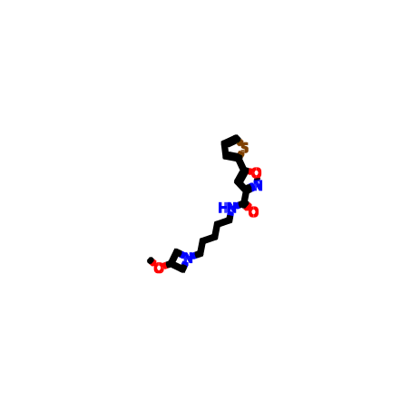 COC1CN(CCCCCNC(=O)c2cc(-c3cccs3)on2)C1